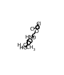 CC(C)(O)C12CC3CCC(NC(=O)CCCOc4ccc(Cl)cc4Cl)C(C1)C(C3)C2